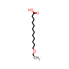 [CH2]COCCCCCCCCCCCC(=O)O